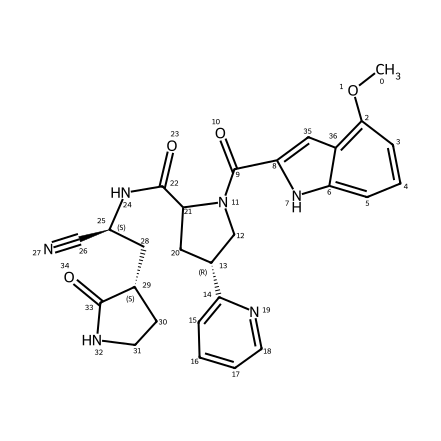 COc1cccc2[nH]c(C(=O)N3C[C@H](c4ccccn4)CC3C(=O)N[C@H](C#N)C[C@@H]3CCNC3=O)cc12